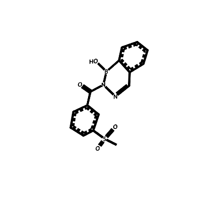 CS(=O)(=O)c1cccc(C(=O)N2N=Cc3ccccc3B2O)c1